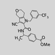 COC(=O)c1ccc(C(C)NC(=O)c2c(C#N)c3c(n2Cc2cccc(C(F)(F)F)c2)CCOC3)cc1